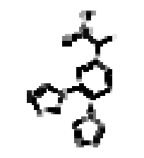 CC(c1ccc(-n2ccnc2)c(-n2ccnc2)c1)[N+](=O)[O-]